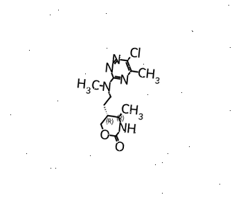 Cc1nc(N(C)CC[C@H]2COC(=O)N[C@@H]2C)nnc1Cl